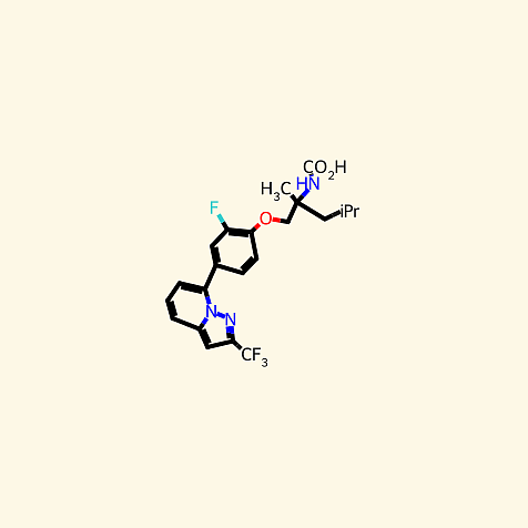 CC(C)CC(C)(COc1ccc(-c2cccc3cc(C(F)(F)F)nn23)cc1F)NC(=O)O